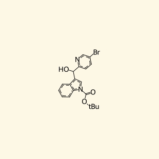 CC(C)(C)OC(=O)n1cc(C(O)c2ccc(Br)cn2)c2ccccc21